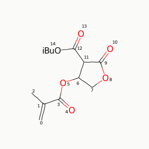 C=C(C)C(=O)OC1COC(=O)C1C(=O)OCC(C)C